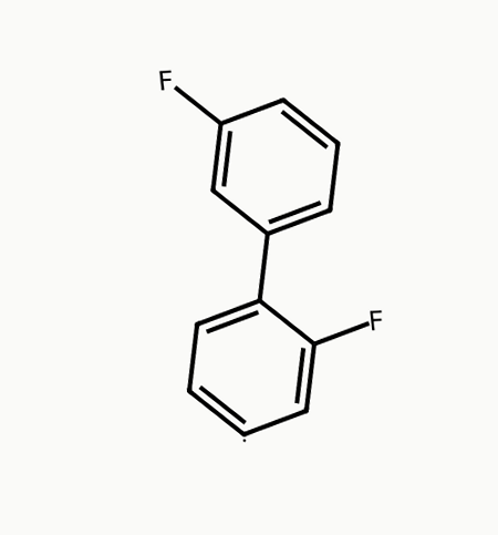 Fc1cccc(-c2cc[c]cc2F)c1